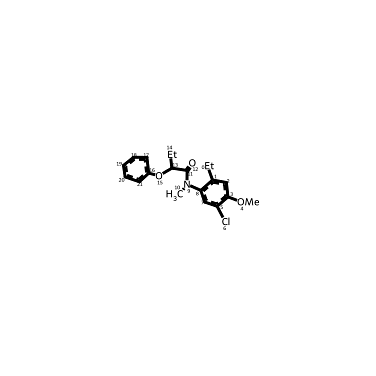 CCc1cc(OC)c(Cl)cc1N(C)C(=O)C(CC)Oc1ccccc1